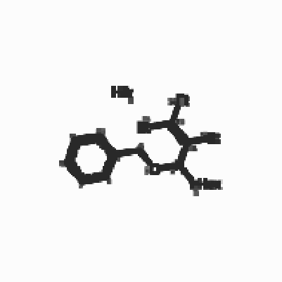 Br.CCCCCCN(OCc1ccccc1)C(CC)=C(CC)CC